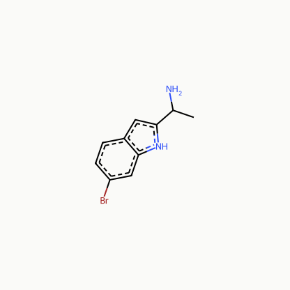 CC(N)c1cc2ccc(Br)cc2[nH]1